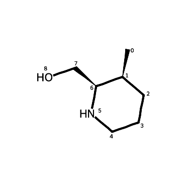 C[C@H]1CCCN[C@H]1CO